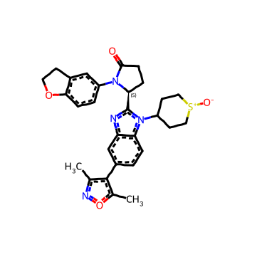 Cc1noc(C)c1-c1ccc2c(c1)nc([C@@H]1CCC(=O)N1c1ccc3c(c1)CCO3)n2C1CC[S+]([O-])CC1